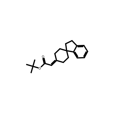 CC(C)(C)OC(=O)C=C1CCC2(CC1)CCc1ccccc12